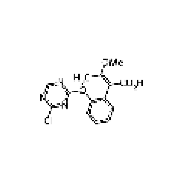 COC(C)=C(C(=O)O)c1ccccc1Oc1ncnc(Cl)n1